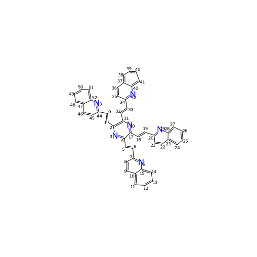 C(=C\c1nc(/C=C/c2ccc3ccccc3n2)c(/C=C/c2ccc3ccccc3n2)nc1/C=C/c1ccc2ccccc2n1)/c1ccc2ccccc2n1